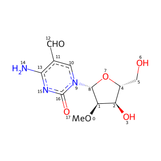 CO[C@@H]1[C@H](O)[C@@H](CO)O[C@H]1n1cc(C=O)c(N)nc1=O